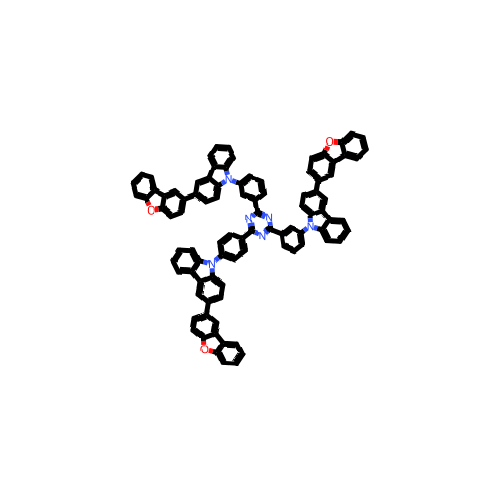 c1cc(-c2nc(-c3ccc(-n4c5ccccc5c5cc(-c6ccc7oc8ccccc8c7c6)ccc54)cc3)nc(-c3cccc(-n4c5ccccc5c5cc(-c6ccc7oc8ccccc8c7c6)ccc54)c3)n2)cc(-n2c3ccccc3c3cc(-c4ccc5oc6ccccc6c5c4)ccc32)c1